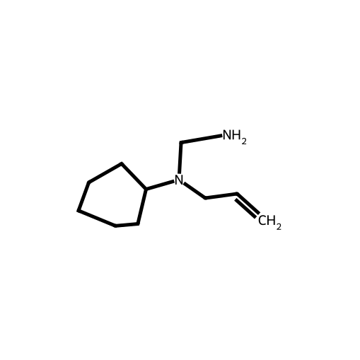 C=CCN(CN)C1CCCCC1